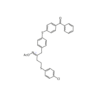 CC(=O)O/N=C(\CCSc1ccc(Cl)cc1)Cc1ccc(Sc2ccc(C(=O)c3ccccc3)cc2)cc1